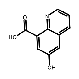 O=C(O)c1cc(O)cc2cccnc12